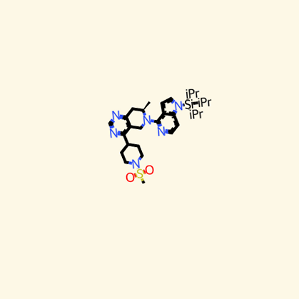 CC(C)[Si](C(C)C)(C(C)C)n1ccc2c(N3Cc4c(ncnc4C4CCN(S(C)(=O)=O)CC4)C[C@H]3C)nccc21